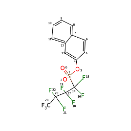 O=S(=O)(Oc1ccc2ccccc2c1)C(F)(F)C(F)(F)C(F)(F)C(F)(F)F